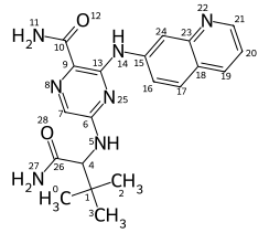 CC(C)(C)C(Nc1cnc(C(N)=O)c(Nc2ccc3cccnc3c2)n1)C(N)=O